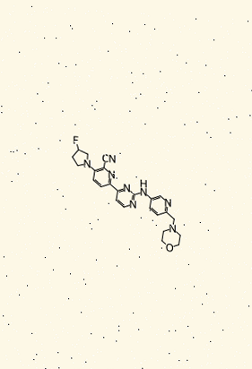 N#Cc1nc(-c2ccnc(Nc3ccc(CN4CCOCC4)nc3)n2)ccc1N1CCC(F)C1